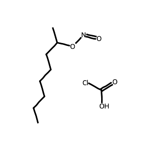 CCCCCCC(C)ON=O.O=C(O)Cl